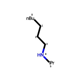 [CH2]CCCCCCNC(C)C